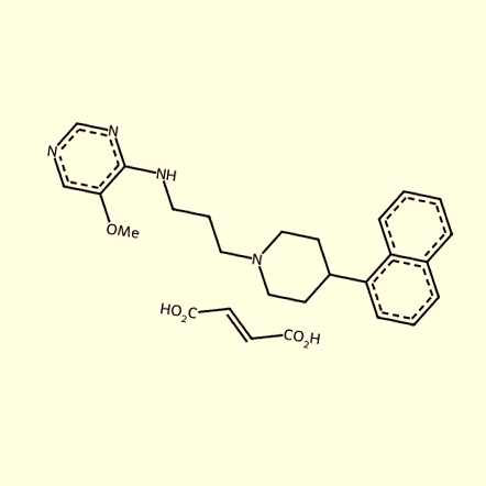 COc1cncnc1NCCCN1CCC(c2cccc3ccccc23)CC1.O=C(O)C=CC(=O)O